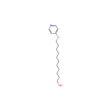 OCCCCCCCCCCCOc1ccncc1